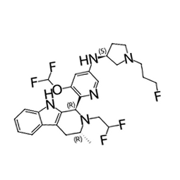 C[C@@H]1Cc2c([nH]c3ccccc23)[C@@H](c2ncc(N[C@H]3CCN(CCCF)C3)cc2OC(F)F)N1CC(F)F